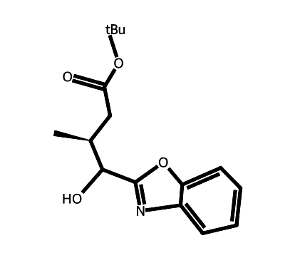 C[C@@H](CC(=O)OC(C)(C)C)C(O)c1nc2ccccc2o1